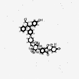 [2H]C1([2H])N(CC2CCN(c3ccc(C(=C(CCCl)c4ccccc4)c4ccc(O)cc4)cc3)CC2)C([2H])([2H])C([2H])([2H])N(c2ccc3c(c2)C(=O)N(C2CCC(=O)NC2=O)C3=O)C1([2H])[2H]